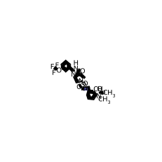 CC(=O)N(C)c1cccc(/C=C/S(=O)(=O)N2CCC3(CC2)N=C(c2cccc(OC(F)(F)F)c2)NC3=O)c1C